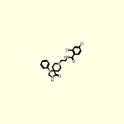 O=C(NCCN1CCC2(CC1)C(=O)NCN2c1ccccc1)c1ccc(Cl)cc1Cl